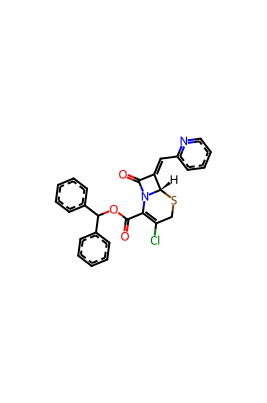 O=C(OC(c1ccccc1)c1ccccc1)C1=C(Cl)CS[C@H]2C(=Cc3ccccn3)C(=O)N12